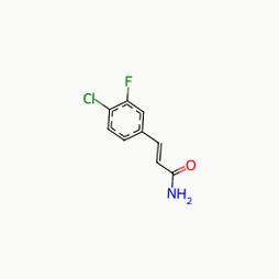 NC(=O)C=Cc1ccc(Cl)c(F)c1